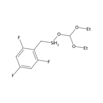 CCOC(OCC)O[SiH2]Cc1c(F)cc(F)cc1F